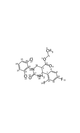 CCOC(=O)C(Cc1ccc(F)cc1F)CN(C(N)=O)c1c(Cl)cccc1Cl